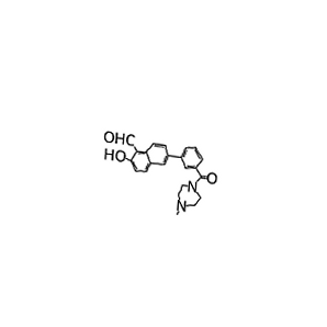 CN1CCN(C(=O)c2cccc(-c3ccc4c(C=O)c(O)ccc4c3)c2)CC1